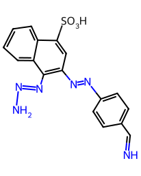 N=Cc1ccc(/N=N/c2cc(S(=O)(=O)O)c3ccccc3c2N=NN)cc1